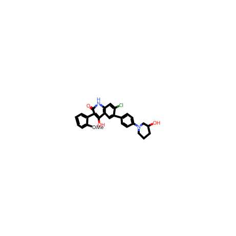 COc1ccccc1-c1c(O)c2cc(-c3ccc(N4CCCC(O)C4)cc3)c(Cl)cc2[nH]c1=O